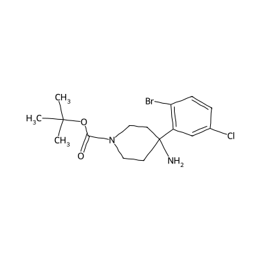 CC(C)(C)OC(=O)N1CCC(N)(c2cc(Cl)ccc2Br)CC1